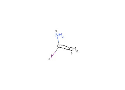 C=C(N)I